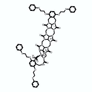 C[C@@]12C3N4CN5C(=O)N6CN7C(=O)N8CN(C(N)=O)[C@]9%10CCc%11c(OCCSc%12ccccc%12)ccc(OCCSc%12ccccc%12)c%11CNC(=O)N9CN9C(=O)N(CN%11C(=O)N(CN3C(=O)N1Cc1c(OCCSc3ccccc3)ccc(OCCSc3ccccc3)c1CN2C4=O)C5[C@H]6%11)[C@H]7C89N%10